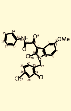 COc1ccc2c(c1)c(C(=O)C(=O)Nc1ccccc1)c(Cl)n2Cc1ccc(Cl)cc1Cl